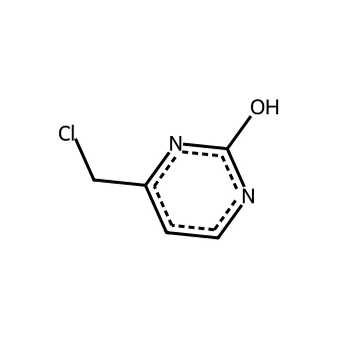 Oc1nccc(CCl)n1